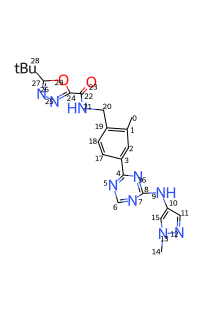 Cc1cc(-c2ncnc(Nc3cnn(C)c3)n2)ccc1CNC(=O)c1nnc(C(C)(C)C)o1